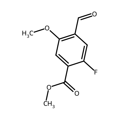 COC(=O)c1cc(OC)c(C=O)cc1F